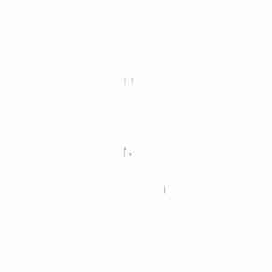 CC(C)C1=CCN(C(C)I)CC1